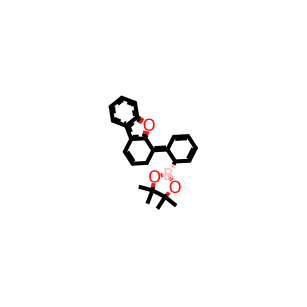 CC1(C)OB(C2C=CC=CC2=C2CC=Cc3c2oc2ccccc32)OC1(C)C